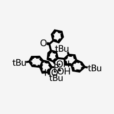 CC(C)(C)c1ccc2cc(-c3cc(C(=O)c4ccccc4)ccc3P(O)(O)(O)c3cc4ccc(C(C)(C)C)cc4cc3C(C)(C)C)c(C(C)(C)C)cc2c1